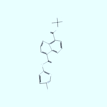 CC(C)(C)OC(=O)c1cccc2c(C(=O)Nc3ccc(Br)cn3)cccc12